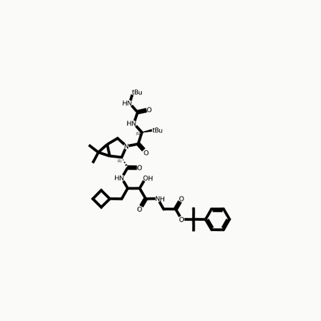 CC(C)(C)NC(=O)N[C@H](C(=O)N1CC2C([C@H]1C(=O)NC(CC1CCC1)C(O)C(=O)NCC(=O)OC(C)(C)c1ccccc1)C2(C)C)C(C)(C)C